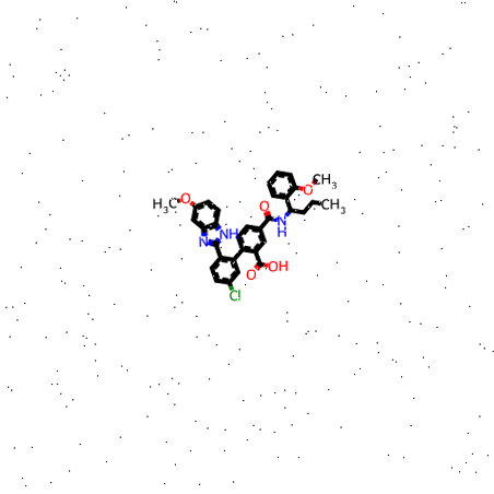 CCCC(NC(=O)c1ccc(-c2cc(Cl)ccc2-c2nc3cc(OC)ccc3[nH]2)c(C(=O)O)c1)c1ccccc1OC